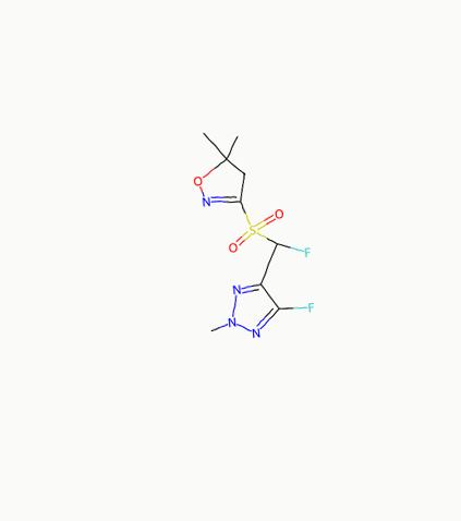 Cn1nc(F)c(C(F)S(=O)(=O)C2=NOC(C)(C)C2)n1